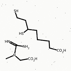 CN(CC(=O)O)C(=N)N.O=C(O)CCCCC(S)CCS